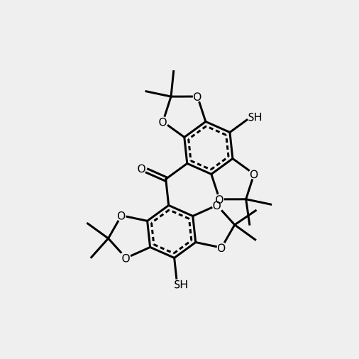 CC1(C)Oc2c(S)c3c(c(C(=O)c4c5c(c(S)c6c4OC(C)(C)O6)OC(C)(C)O5)c2O1)OC(C)(C)O3